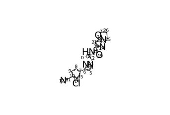 C[C@@H](Cn1ccc(-c2ccc(C#N)c(Cl)c2)n1)NC(=O)c1cc2n(n1)CCCO2